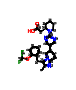 Cc1nc2ccc(-c3cnc(N4CCCC[C@@H]4CC(=O)O)nc3)cn2c1Cc1ccccc1OC(F)F